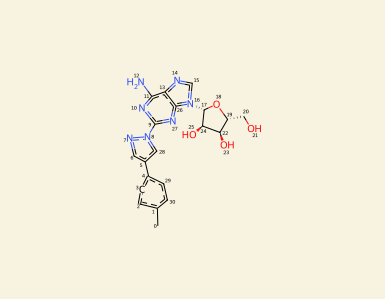 Cc1ccc(-c2cnn(-c3nc(N)c4ncn([C@@H]5O[C@H](CO)[C@@H](O)[C@H]5O)c4n3)c2)cc1